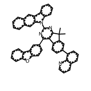 CC1(C)c2cc(-c3cccc4cccnc34)ccc2-c2c(-c3ccc4oc5ccccc5c4c3)nc(-n3c4ccccc4c4cc5ccccc5cc43)nc21